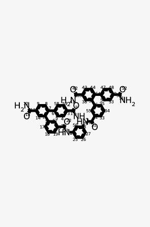 NC(=O)c1ccc(-c2ccc(C(N)=O)cc2-c2cccc(C(=O)Nc3cccc(NC(=O)c4cccc(-c5cc(C(N)=O)ccc5-c5ccc(C(N)=O)cc5)c4)c3)c2)cc1